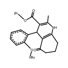 CCCCOc1ccccc1C1C(C(=O)OC(C)C)=C(C)NC2=C1C(=O)CCC2